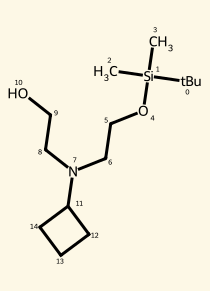 CC(C)(C)[Si](C)(C)OCCN(CCO)C1CCC1